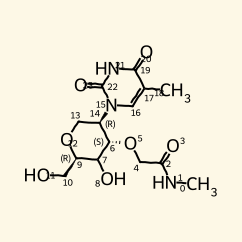 CNC(=O)CO[C@@H]1C(O)[C@@H](CO)OC[C@H]1n1cc(C)c(=O)[nH]c1=O